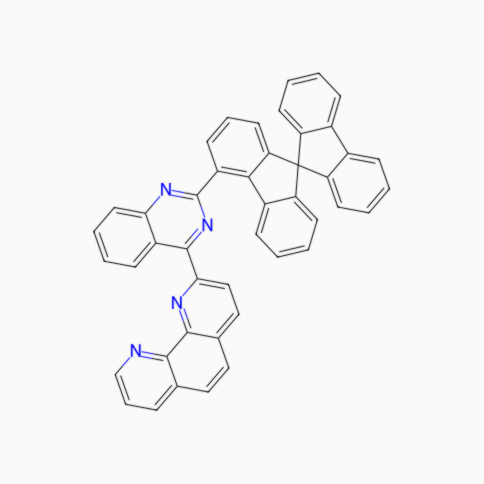 c1ccc2c(c1)-c1ccccc1C21c2ccccc2-c2c(-c3nc(-c4ccc5ccc6cccnc6c5n4)c4ccccc4n3)cccc21